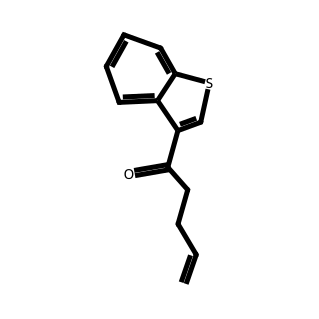 C=CCCC(=O)c1csc2ccccc12